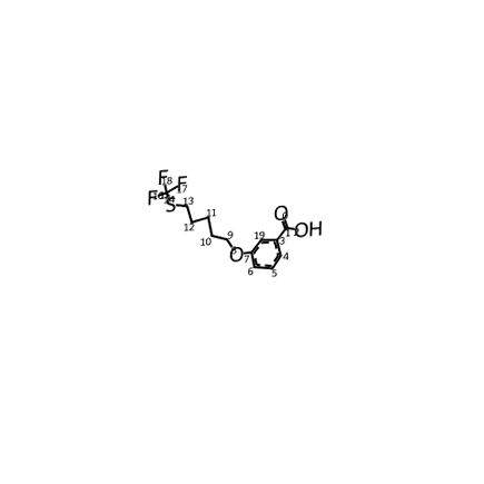 O=C(O)c1cccc(OCCCCCSC(F)(F)F)c1